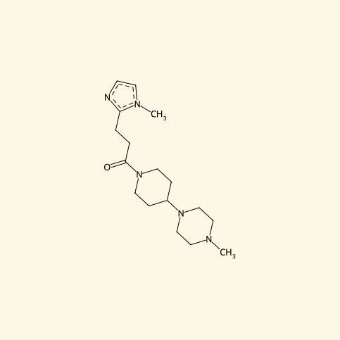 CN1CCN(C2CCN(C(=O)CCc3nccn3C)CC2)CC1